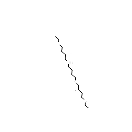 CCNCC[C@H](O)CNCCCCNC[C@@H](O)CCNCC